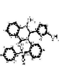 Cc1ccc(C2N(C)c3ccccc3C(=O)N2c2ccccc2S(=O)(=O)c2ccccc2)s1